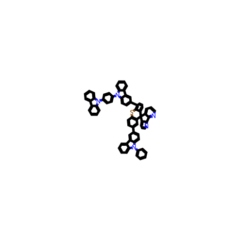 c1ccc(-n2c3ccccc3c3cc(-c4ccc5c(c4)C4(c6cccnc6-c6ncccc64)c4cccc(-c6ccc7c(c6)c6ccccc6n7-c6ccc(-n7c8ccccc8c8ccccc87)cc6)c4S5)ccc32)cc1